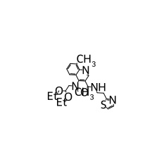 CCOC(CN(C)c1c(C(=O)NCCc2nccs2)cnc2c(C)cccc12)OCC